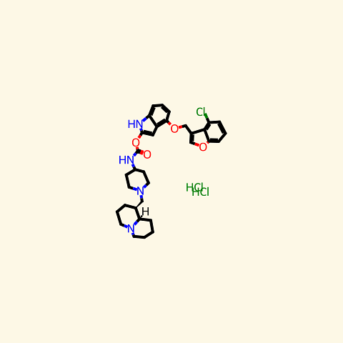 Cl.Cl.O=C(NC1CCN(C[C@@H]2CCCN3CCCC[C@H]23)CC1)Oc1cc2c(OCc3coc4cccc(Cl)c34)cccc2[nH]1